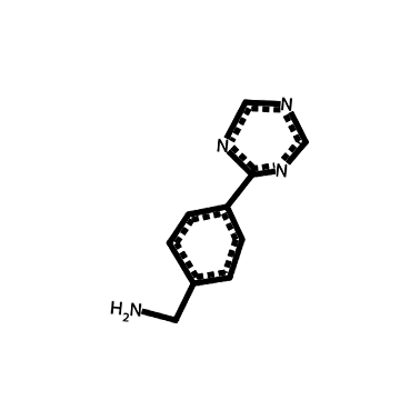 NCc1ccc(-c2ncncn2)cc1